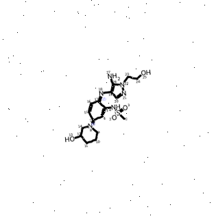 CS(=O)(=O)NC1=CC(=[N+]2\CCCC(O)C2)/C=CC/1=N/c1cnn(CCO)c1N